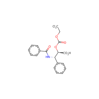 O=C(OCC(Cl)(Cl)Cl)O[C@@H](C(=O)O)[C@@H](NC(=O)c1ccccc1)c1ccccc1